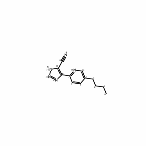 CCCCc1ccc(-c2nn[nH]c2C#N)nc1